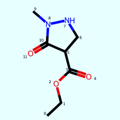 CCOC(=O)C1CNN(C)C1=O